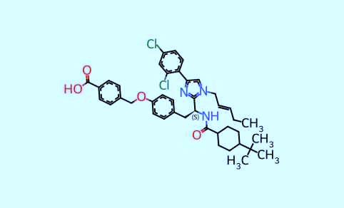 CCC=CCn1cc(-c2ccc(Cl)cc2Cl)nc1[C@H](Cc1ccc(OCc2ccc(C(=O)O)cc2)cc1)NC(=O)C1CCC(C(C)(C)C)CC1